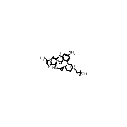 CC(C)(O)CN[C@@H]1CCCN(c2cc(N)cc(Nc3nc(NC4CC4)c4ncc(N)n4n3)c2Cl)C1